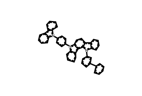 c1ccc(-c2cccc(-n3c4ccccc4c4ccc5c(c6ccccc6n5-c5ccc(-n6c7ccccc7c7ccccc76)cc5)c43)c2)cc1